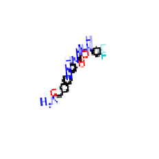 NC(=O)CC1CCC2(CC1)CCN(c1ccc(NC(=O)c3nnc(Nc4ccc(F)c(F)c4)o3)cn1)CC2